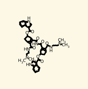 CN(C)CCNC(=O)C1C2CC(OC(=O)c3c[nH]c4ccccc34)C(C2)C1C(=O)NC(=O)C1C2CC(CC2OC(=O)c2c[nH]c3ccccc23)C1C(=O)NCCN(C)C